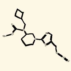 CC(C)(C)OC(=O)N(CC1CCC1)C1CCCN(c2ncc(CN=[N+]=[N-])s2)C1